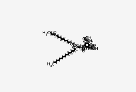 CCCCCCCCCCCCCCCC(=O)O[C@H](COCOCCCCCCCCCSC(=O)CCC)COP(=O)(O)OC1C(O)[C@H](OP(=O)(O)O)C(O)[C@H](OP(=O)(O)O)[C@@H]1O